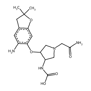 CC1(C)Cc2cc(N)c(OC3CN(CC(N)=O)CC3NC(=O)O)cc2O1